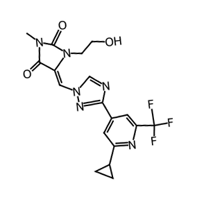 CN1C(=O)C(=Cn2cnc(-c3cc(C4CC4)nc(C(F)(F)F)c3)n2)N(CCO)C1=O